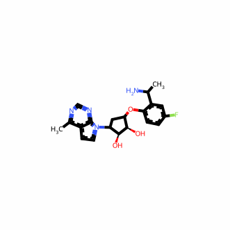 Cc1ncnc2c1ccn2C1CC(Oc2ccc(F)cc2C(C)N)[C@@H](O)[C@H]1O